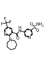 NS(=O)(=O)c1cncc(NC(=O)c2cc(C(F)(F)F)cnc2N2CCCCCC2)c1